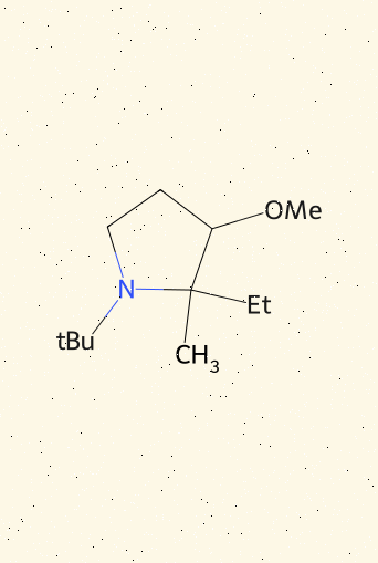 CCC1(C)C(OC)CCN1C(C)(C)C